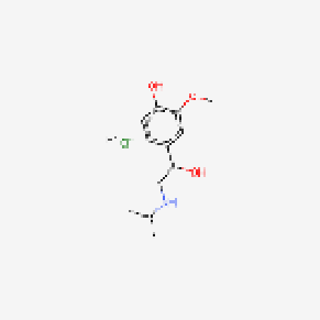 COc1cc(C(O)CNC(C)C)ccc1O.[Cl-].[H+]